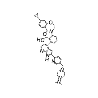 CN(C)N1CCN(Cc2ccc(-c3cc4c(-c5cccc(N6CCOc7cc(C8CC8)ccc7C6=O)c5CO)ccnc4[nH]3)nc2)CC1